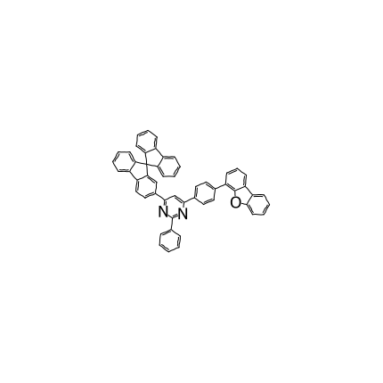 c1ccc(-c2nc(-c3ccc(-c4cccc5c4oc4ccccc45)cc3)cc(-c3ccc4c(c3)C3(c5ccccc5-c5ccccc53)c3ccccc3-4)n2)cc1